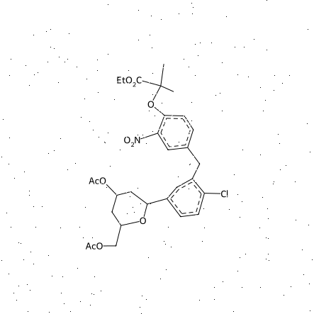 CCOC(=O)C(C)(C)Oc1ccc(Cc2cc(C3CC(OC(C)=O)CC(COC(C)=O)O3)ccc2Cl)cc1[N+](=O)[O-]